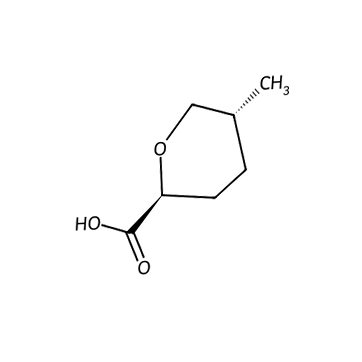 C[C@@H]1CC[C@@H](C(=O)O)OC1